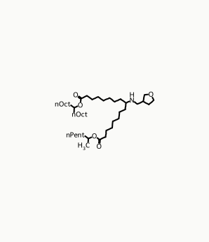 CCCCCCCCC(CCCCCCCC)OC(=O)CCCCCCCC(CCCCCCCC(=O)OC(C)CCCCC)NCC1CCOC1